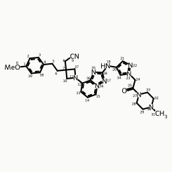 COc1ccc(CCC2(CC#N)CN(c3cccn4nc(Nc5cnn(CC(=O)N6CCN(C)CC6)c5)nc34)C2)cc1